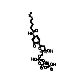 CSSCCCC(=O)Nc1ccn([C@H]2C[C@@H](O)[C@@H](COP(=O)(O)OP(=O)(O)OP(=O)(O)O)O2)c(=O)c1